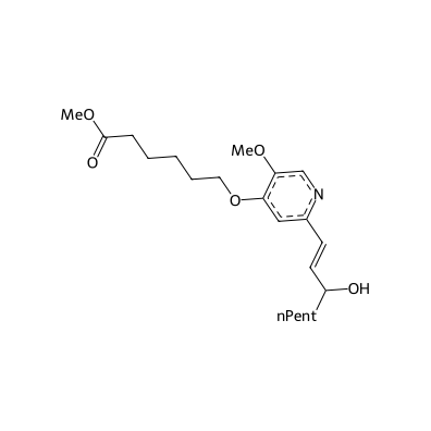 CCCCCC(O)C=Cc1cc(OCCCCCC(=O)OC)c(OC)cn1